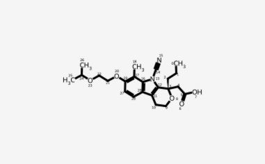 CCC[C@@]1(CC(=O)O)OCCc2c1n(C#N)c1c(C)c(OCCOC(C)C)ccc21